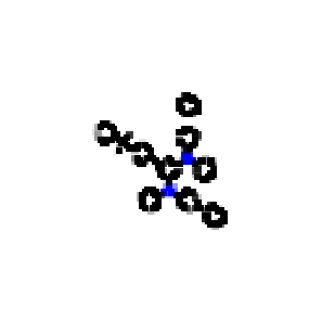 CC(C)(c1ccccc1)c1ccc(-c2cc(N(c3ccccc3)c3ccc(-c4ccccc4)cc3)cc(N(c3ccccc3)c3ccc(-c4ccccc4)cc3)c2)cc1